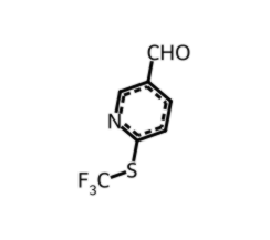 O=Cc1ccc(SC(F)(F)F)nc1